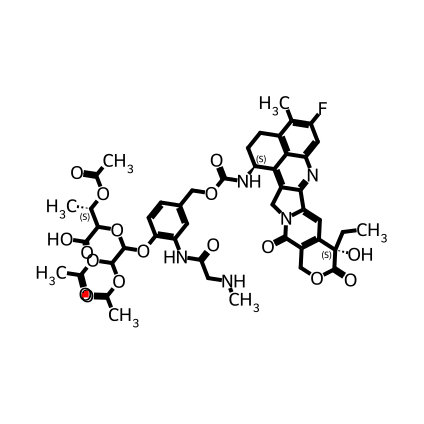 CC[C@@]1(O)C(=O)OCc2c1cc1n(c2=O)Cc2c-1nc1cc(F)c(C)c3c1c2[C@@H](NC(=O)OCc1ccc(OC(OC(C(=O)O)[C@H](C)OC(C)=O)C(OC(C)=O)OC(C)=O)c(NC(=O)CNC)c1)CC3